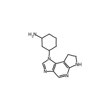 NC1CCCC(n2cnc3cnc4c(c32)CCN4)C1